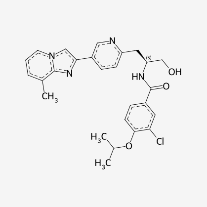 Cc1cccn2cc(-c3ccc(C[C@@H](CO)NC(=O)c4ccc(OC(C)C)c(Cl)c4)nc3)nc12